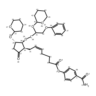 NC(=O)c1ccc(OC(=O)CCC/C=C\C[C@H]2C(=O)C[C@H](OC3CCCCO3)[C@H]2OCC(COc2ccccc2)OC2CCCCO2)cc1